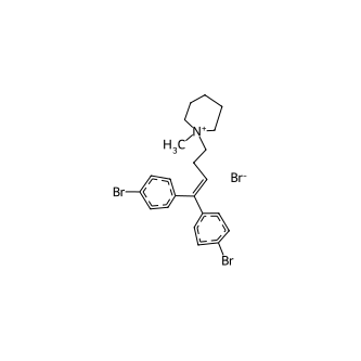 C[N+]1(CCC=C(c2ccc(Br)cc2)c2ccc(Br)cc2)CCCCC1.[Br-]